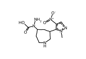 Cn1ncc([N+](=O)[O-])c1C1CNCCC(N(N)C(=O)O)C1